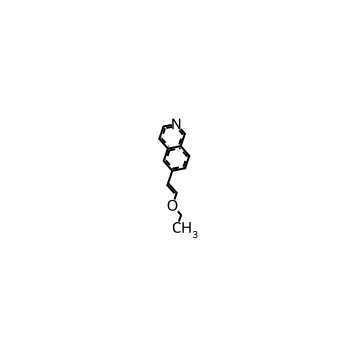 CCO/C=C/c1ccc2cnccc2c1